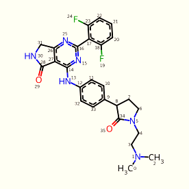 CN(C)CCN1CCC(c2ccc(Nc3nc(-c4c(F)cccc4F)nc4c3C(=O)NC4)cc2)C1=O